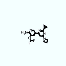 Nc1ncc(-c2cc(N3CCC3)nc(C3CC3)n2)cc1OC(F)F